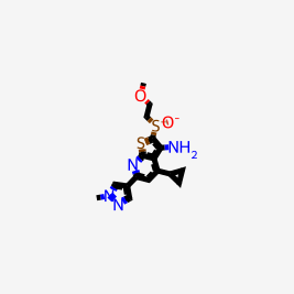 COCC[S+]([O-])c1sc2nc(-c3cnn(C)c3)cc(C3CC3)c2c1N